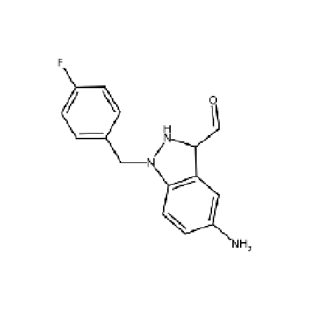 Nc1ccc2c(c1)C(C=O)NN2Cc1ccc(F)cc1